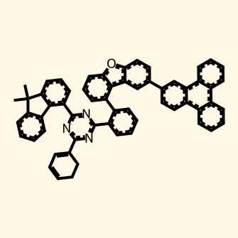 CC1(C)c2ccccc2-c2c(-c3nc(C4=CC=CCC4)nc(-c4ccccc4-c4cccc5oc6ccc(-c7ccc8c9ccccc9c9ccccc9c8c7)cc6c45)n3)cccc21